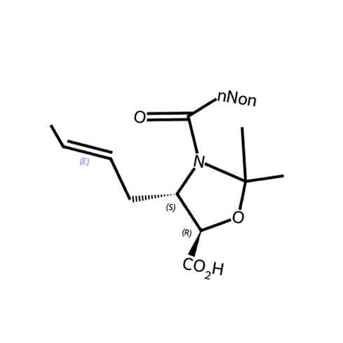 C/C=C/C[C@H]1[C@H](C(=O)O)OC(C)(C)N1C(=O)CCCCCCCCC